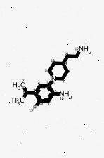 CC(C)c1cc(N2CCC(CCN)CC2)c(N)cc1F